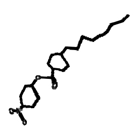 CCCCCCCCCC1CCC(C(=O)OC2CCC([N+](=O)[O-])CC2)CC1